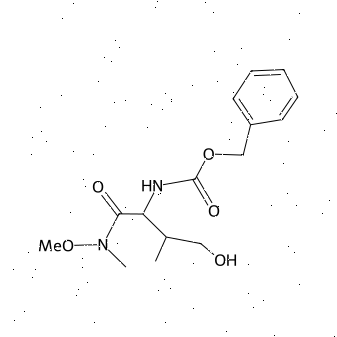 CON(C)C(=O)C(NC(=O)OCc1ccccc1)C(C)CO